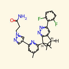 Cc1cc(-c2cnn(CCC(N)=O)c2)nc([C@@]23CC[C@@H](c4cc(-c5c(F)cccc5F)nnc42)C3(C)C)c1